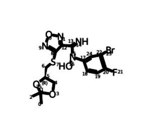 CC1(C)OC[C@H](CSc2nonc2C(=N)N(O)c2ccc(F)c(Br)c2)O1